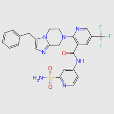 NS(=O)(=O)c1cc(NC(=O)c2cc(C(F)(F)F)cnc2N2CCn3c(Cc4ccccc4)cnc3C2)ccn1